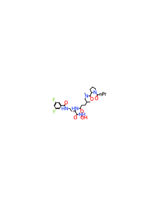 CCCC(=O)N1CCCC1C(=O)N(C)CC(C)CCC(=O)N[C@@H](CCNC(=O)c1cc(F)cc(F)c1)C(=O)NO